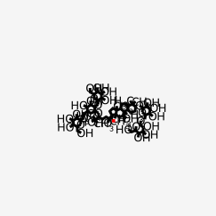 CC(C)(O)C(CCC(C)(O)C1CCC2(C)C3CC=C4C(CCC(OC5OC(COC6OC(CO)C(O)C(O)C6O)C(O)C(O)C5O)C4(C)C)C3(C)C(O)CC12C)OC1OC(COC2OC(CO)C(O)C(O)C2O)C(O)C(O)C1OC1OC(CO)C(O)C(O)C1O